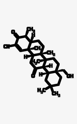 [C-]#[N+]C1=C[C@]2(C)[C@H]3CC(=O)[C@@H]4[C@@H]5CC(C)(C)CC[C@]5(CO)CC[C@@]4(C)[C@]3(C)CC[C@H]2[C@H](C)C1=O